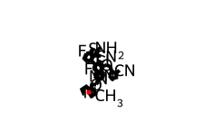 C[C@H]1CN2CCCC2(COc2nc3c4c(c(Cl)c(-c5ccc(F)c6sc(N)c(C#N)c56)c(F)c4n2)OCC2C(C#N)CCN32)C1